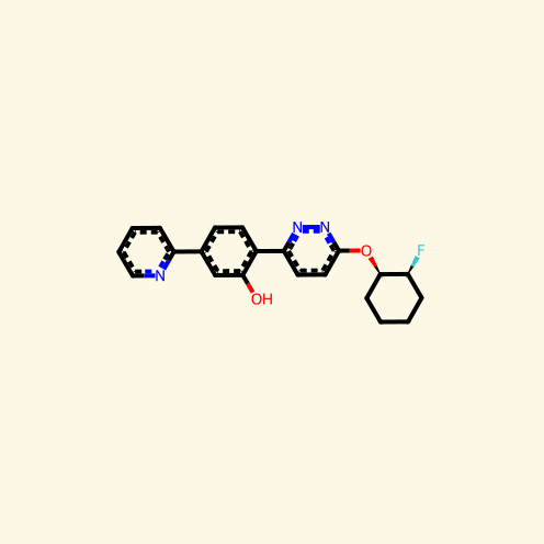 Oc1cc(-c2ccccn2)ccc1-c1ccc(O[C@@H]2CCCC[C@@H]2F)nn1